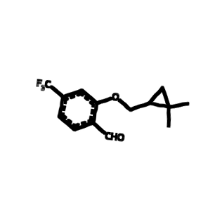 CC1(C)CC1COc1cc(C(F)(F)F)ccc1C=O